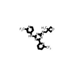 CC1(CNc2nc(Nc3ccnc(C(F)(F)F)c3)nc(-c3cccc(C(F)(F)F)n3)n2)COC1